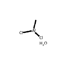 O.[CH3][Al]([Cl])[Cl]